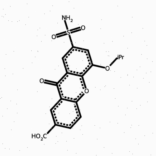 CC(C)Oc1cc(S(N)(=O)=O)cc2c(=O)c3cc(C(=O)O)ccc3oc12